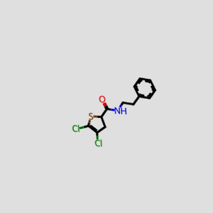 O=C(NCCc1ccccc1)C1CC(Cl)=C(Cl)S1